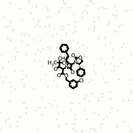 CC(C)(C)C(=O)C(C(=O)OCc1cccc(Cl)c1)N1C(=O)C(N2C(=O)OC[C@@H]2c2ccccc2)C1C=Cc1ccccc1